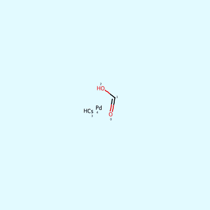 O=CO.[CsH].[Pd]